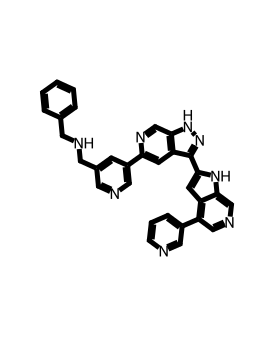 c1ccc(CNCc2cncc(-c3cc4c(-c5cc6c(-c7cccnc7)cncc6[nH]5)n[nH]c4cn3)c2)cc1